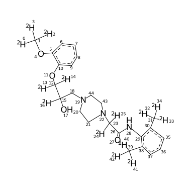 [2H]C([2H])([2H])Oc1ccccc1OC([2H])([2H])C([2H])(O)CN1CCN(C([2H])([2H])C(=O)Nc2c(C([2H])([2H])[2H])cccc2C([2H])([2H])[2H])CC1